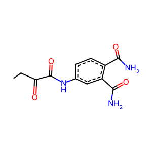 CCC(=O)C(=O)Nc1ccc(C(N)=O)c(C(N)=O)c1